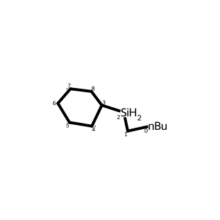 CCCCC[SiH2]C1[CH]CC[CH]C1